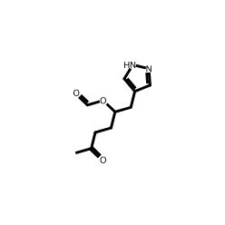 CC(=O)CCC(Cc1cn[nH]c1)OC=O